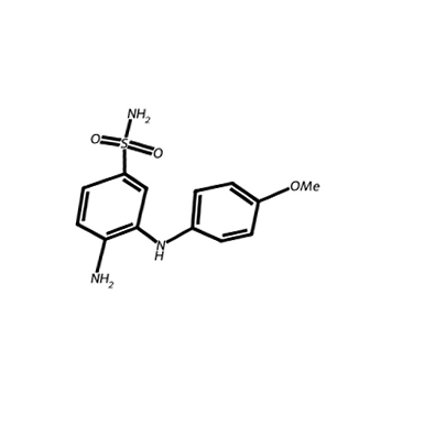 COc1ccc(Nc2cc(S(N)(=O)=O)ccc2N)cc1